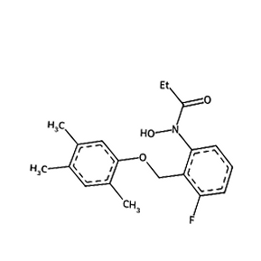 CCC(=O)N(O)c1cccc(F)c1COc1cc(C)c(C)cc1C